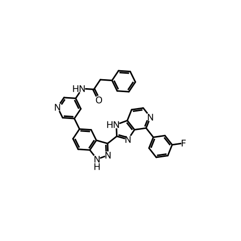 O=C(Cc1ccccc1)Nc1cncc(-c2ccc3[nH]nc(-c4nc5c(-c6cccc(F)c6)nccc5[nH]4)c3c2)c1